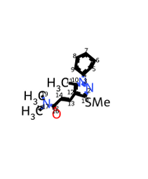 CSc1nn(-c2ccccc2)c(C)c1C=CC(=O)N(C)C